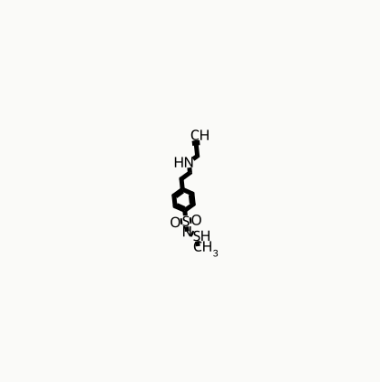 C#CCNCCc1ccc(S(=O)(=O)N=[SH]C)cc1